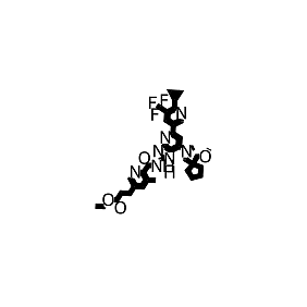 CCOC(=O)CCc1cnc(C(=O)Nc2nc3nc(-c4cnc(C5CC5)c(C(F)(F)F)c4)cc(N(C)CC4(COC)CCCC4)c3[nH]2)c(C)c1